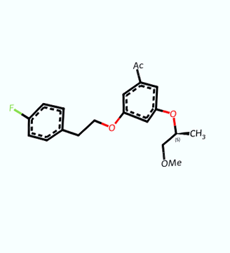 COC[C@H](C)Oc1cc(OCCc2ccc(F)cc2)cc(C(C)=O)c1